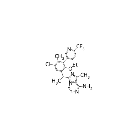 CCOc1c(C(C)c2nc(C)c3c(N)nccn23)cc(Cl)c(C)c1-c1ccc(C(F)(F)F)nc1